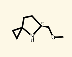 COC[C@@H]1CCC2(CC2)N1